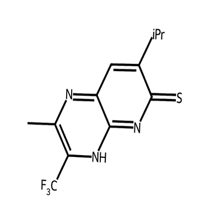 Cc1nc2cc(C(C)C)c(=S)nc-2[nH]c1C(F)(F)F